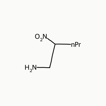 CCCC(CN)[N+](=O)[O-]